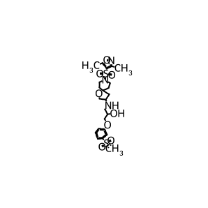 Cc1noc(C)c1S(=O)(=O)N1CCC2(CC1)CC(NCC(O)COc1cccc(S(C)(=O)=O)c1)CO2